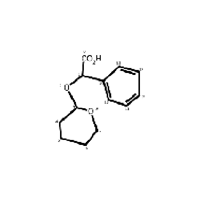 O=C(O)C(OC1CCCCO1)c1ccccc1